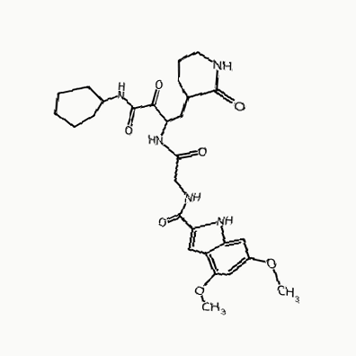 COc1cc(OC)c2cc(C(=O)NCC(=O)NC(CC3CCCNC3=O)C(=O)C(=O)NC3CCCCC3)[nH]c2c1